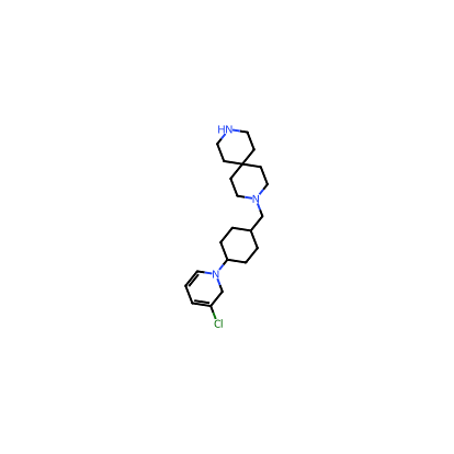 ClC1=CC=CN(C2CCC(CN3CCC4(CCNCC4)CC3)CC2)C1